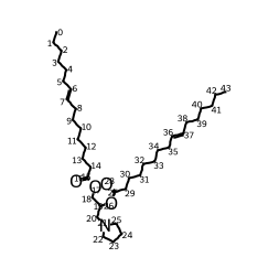 CCCCCCC=CCCCCCCCC(=O)OCC(CN1CCCC1)OC(=O)CCCCCCCC=CCCCCCC